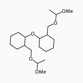 COC(C)OCC1CCCCC1OC1CCCCC1COC(C)OC